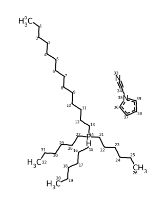 CCCCCCCCCCCCCC[PH](CCCCCC)(CCCCCC)CCCCCC.N#Cn1cccc1